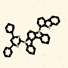 c1ccc(-c2cc(-c3ccccc3)nc(-n3c4ccccc4c4c5c6ccccc6n(-c6cccc7c6sc6ccccc67)c5ccc43)n2)cc1